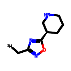 [2H]Cc1noc([C@@H]2CCCNC2)n1